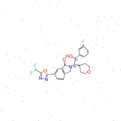 O=C1c2cc(-c3nnc(C(F)F)o3)ccc2CN1[C@H](C1CCOCC1)[C@@H](O)c1cccc(F)c1